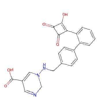 O=C(O)C1=CN(NCc2ccc(-c3ccccc3-c3c(O)c(=O)c3=O)cc2)CN=C1